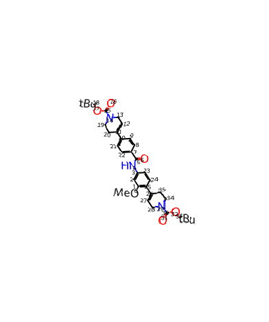 COc1cc(NC(=O)c2ccc(C3=CCN(C(=O)OC(C)(C)C)CC3)cc2)ccc1C1=CCN(C(=O)OC(C)(C)C)CC1